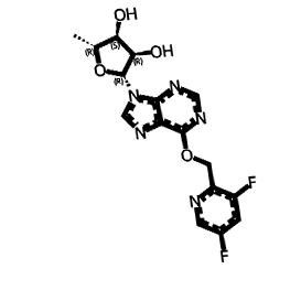 C[C@H]1O[C@@H](n2cnc3c(OCc4ncc(F)cc4F)ncnc32)[C@H](O)[C@@H]1O